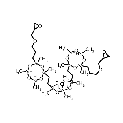 C[SiH]1O[SiH](C)O[Si](C)(CC[Si](C)(C)O[Si](C)(C)O[Si](C)(C)CC[Si]2(C)O[SiH](C)O[SiH](C)O[Si](C)(CCCOCC3CO3)O2)O[Si](C)(CCCOCC2CO2)O1